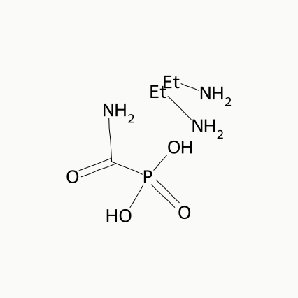 CCN.CCN.NC(=O)P(=O)(O)O